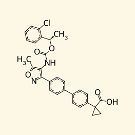 Cc1onc(-c2ccc(-c3ccc(C4(C(=O)O)CC4)cc3)cc2)c1NC(=O)O[C@H](C)c1ccccc1Cl